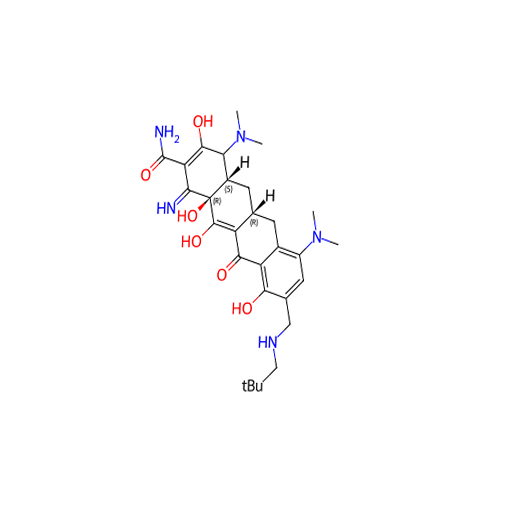 CN(C)c1cc(CNCC(C)(C)C)c(O)c2c1C[C@H]1C[C@H]3C(N(C)C)C(O)=C(C(N)=O)C(=N)[C@@]3(O)C(O)=C1C2=O